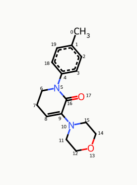 Cc1ccc(N2CCC=C(N3CCOCC3)C2=O)cc1